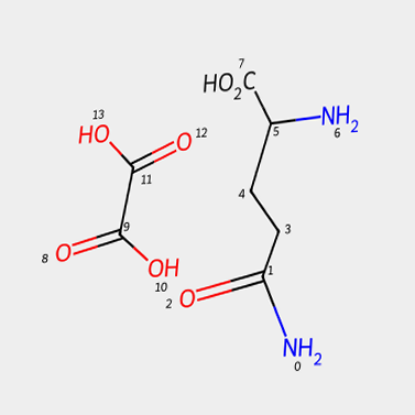 NC(=O)CCC(N)C(=O)O.O=C(O)C(=O)O